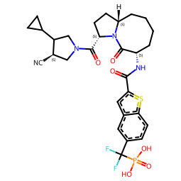 N#C[C@@H]1CN(C(=O)[C@@H]2CC[C@@H]3CCCC[C@H](NC(=O)c4cc5cc(C(F)(F)P(=O)(O)O)ccc5s4)C(=O)N32)CC1C1CC1